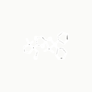 CC1(C)CCCC1(C=O)C1OC=C(O[Si](c2ccccc2)(c2ccccc2)C(C)(C)C)O1